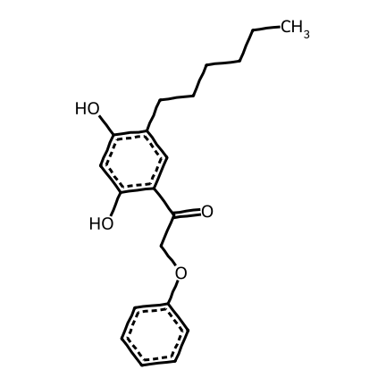 CCCCCCc1cc(C(=O)COc2ccccc2)c(O)cc1O